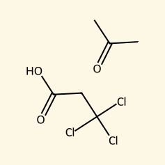 CC(C)=O.O=C(O)CC(Cl)(Cl)Cl